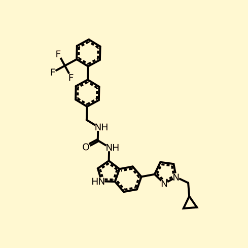 O=C(NCc1ccc(-c2ccccc2C(F)(F)F)cc1)Nc1c[nH]c2ccc(-c3ccn(CC4CC4)n3)cc12